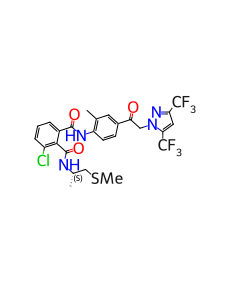 CSC[C@H](C)NC(=O)c1c(Cl)cccc1C(=O)Nc1ccc(C(=O)Cn2nc(C(F)(F)F)cc2C(F)(F)F)cc1C